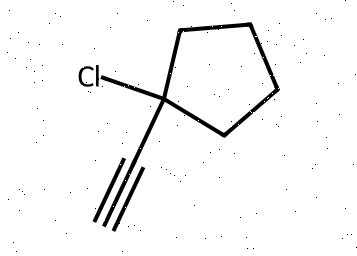 C#CC1(Cl)CCCC1